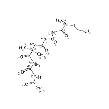 CCCN(C)C(=O)NC(=O)NC(=O)NC(C)(C)C(=O)NC(=O)NC(C)=O